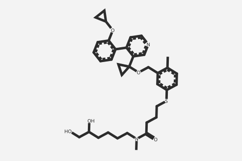 Cc1ccc(SCCCC(=O)N(C)CCCCC(O)CO)cc1COC1(c2cnccc2-c2ccccc2OC2CC2)CC1